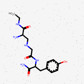 NC(=O)C(Cc1ccc(O)cc1)NC(=O)CNCC(N)C(=O)NCC(=O)O